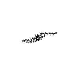 CCCCCCCc1ccc(-c2cnc(C3CCC(CCCCC)CC3)nc2F)cc1